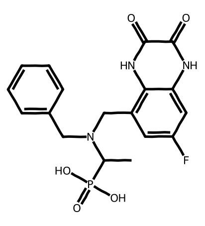 CC(N(Cc1ccccc1)Cc1cc(F)cc2[nH]c(=O)c(=O)[nH]c12)P(=O)(O)O